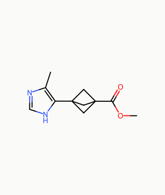 COC(=O)C12CC(c3[nH]cnc3C)(C1)C2